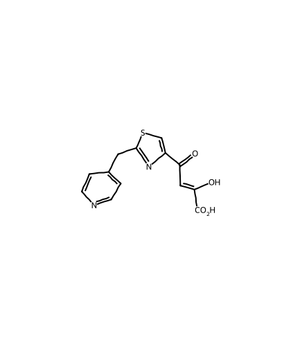 O=C(O)C(O)=CC(=O)c1csc(Cc2ccncc2)n1